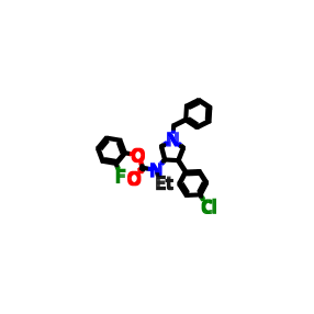 CCN(C(=O)Oc1ccccc1F)C1CN(Cc2ccccc2)CC1c1ccc(Cl)cc1